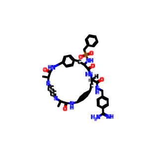 CC1C(=O)Nc2ccc(cc2)CC(NS(=O)(=O)Cc2ccccc2)C(=O)N[C@H](C(=O)NCc2ccc(C(=N)N)cc2)Cc2ccc(cc2)NC(=O)C(C)N2CCN1CC2